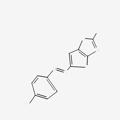 CCCCc1ccc(N=Nc2cc3sc(Cl)nc3s2)cc1